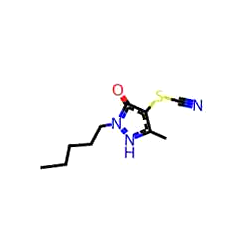 CCCCCn1[nH]c(C)c(SC#N)c1=O